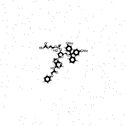 COc1ccc(C(OC[C@H]2O[C@@H](n3cnc4c(NC(=O)COc5ccccc5)ncnc43)C[C@H]2OP(=O)(O)OCCSC(=O)C(C)(C)C)(c2ccccc2)c2ccc(OC)cc2)cc1